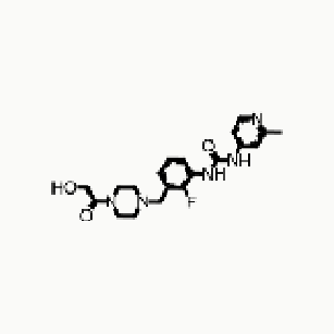 Cc1cc(NC(=O)Nc2cccc(CN3CCN(C(=O)CO)CC3)c2F)ccn1